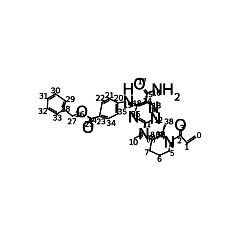 C=CC(=O)N1CCC[C@@H](N(C)c2nnc(C(N)=O)c(Nc3ccc(C(=O)OCc4ccccc4)cc3)n2)[C@H]1C